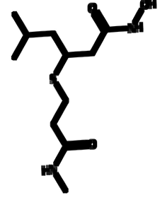 CNC(=O)CCSC(CC(=O)NO)CC(C)C